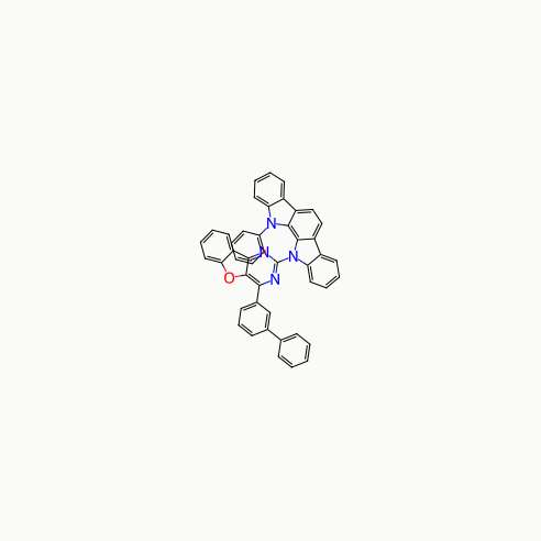 c1ccc(-c2cccc(-c3nc(-n4c5ccccc5c5ccc6c7ccccc7n(-c7ccccc7)c6c54)nc4c3oc3ccccc34)c2)cc1